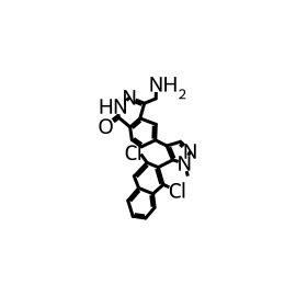 Cn1ncc(-c2ccc3c(=O)[nH]nc(CN)c3c2)c1-c1c(Cl)cc2ccccc2c1Cl